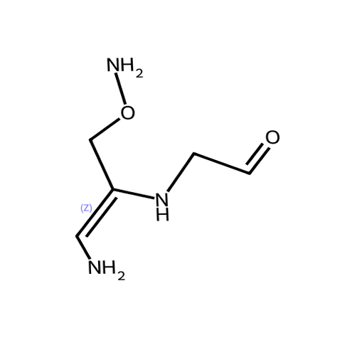 N/C=C(/CON)NCC=O